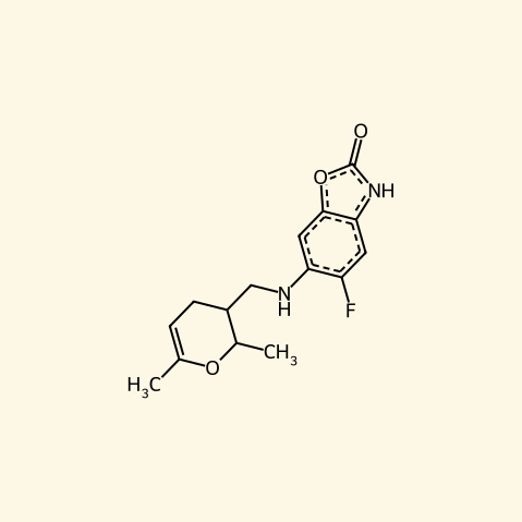 CC1=CCC(CNc2cc3oc(=O)[nH]c3cc2F)C(C)O1